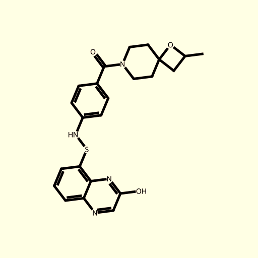 CC1CC2(CCN(C(=O)c3ccc(NSc4cccc5ncc(O)nc45)cc3)CC2)O1